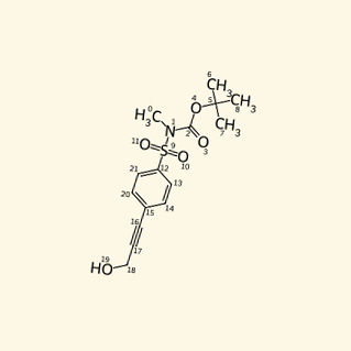 CN(C(=O)OC(C)(C)C)S(=O)(=O)c1ccc(C#CCO)cc1